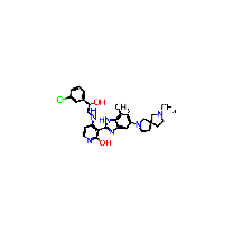 Cc1cc(N2CCC3(CCN(C)C3)C2)cc2nc(-c3c(NC[C@H](O)c4cccc(Cl)c4)ccnc3O)[nH]c12